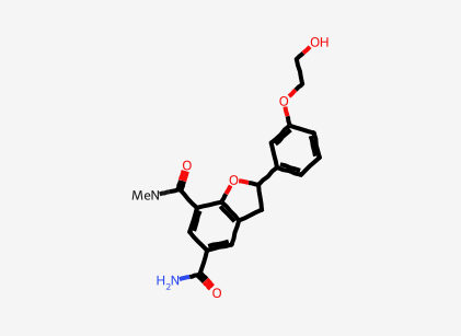 CNC(=O)c1cc(C(N)=O)cc2c1OC(c1cccc(OCCO)c1)C2